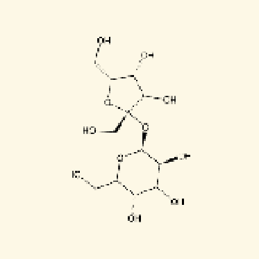 OCC1O[C@@H](O[C@]2(CO)O[C@H](CO)[C@H](O)C2O)[C@@H](O)C(O)[C@@H]1O